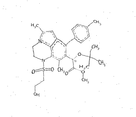 COC(=O)[C@@H](OC(C)(C)C)c1c(C)c2c3c(cc(C)n3CCN2S(=O)(=O)CCO)c1-c1ccc(C)cc1